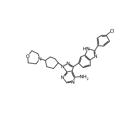 Nc1ncnc2c1c(-c1ccc3nc(-c4ccc(Cl)cc4)[nH]c3c1)nn2C1CCC(N2CCOCC2)CC1